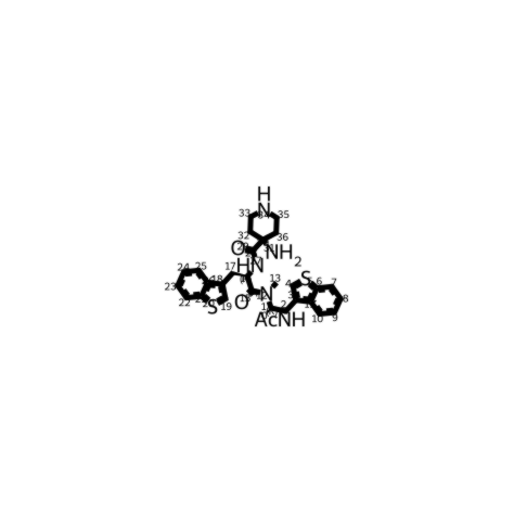 CC(=O)N[C@@H](Cc1csc2ccccc12)N(C)C(=O)[C@@H](Cc1csc2ccccc12)NC(=O)C1(N)CCNCC1